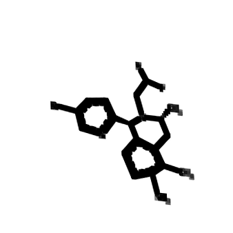 Cc1c(N)ccc2c1C[C@@H](C)N(CC(F)F)[C@@H]2c1ccc(Br)cn1